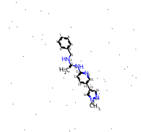 C=C(NCc1ccccc1)Nc1ccc(-c2cnn(C)c2)cn1